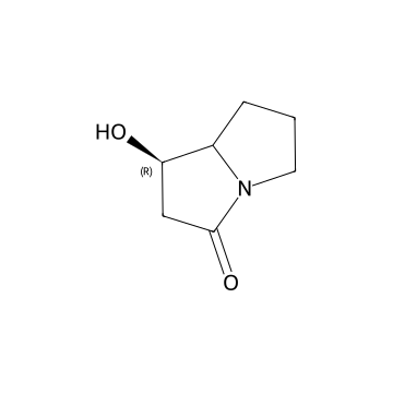 O=C1C[C@@H](O)C2CCCN12